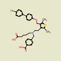 Cc1sc(C)c(COc2ccc(-c3ccc(Cl)cc3)cc2)c1CCN(CCCCC(=O)O)Cc1ccc(C(=O)O)cc1